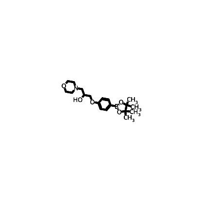 CC1(C)OB(c2ccc(OCC(O)CN3CCOCC3)cc2)OC1(C)C